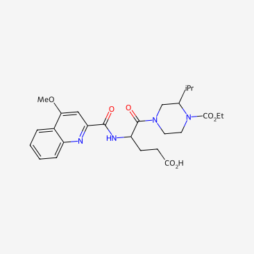 CCOC(=O)N1CCN(C(=O)C(CCC(=O)O)NC(=O)c2cc(OC)c3ccccc3n2)CC1C(C)C